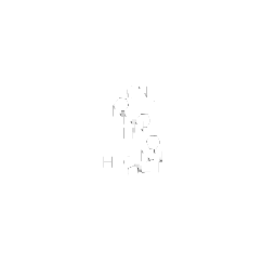 CC(C)(O)Cn1cnc2ccc(-c3cc(C4CC4)cc(Nc4cc(C#N)ccn4)n3)cc21